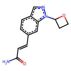 NC(=O)C=Cc1ccc2cnn(C3CCO3)c2c1